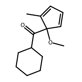 COC1(C(=O)C2CCCCC2)C=CC=C1C